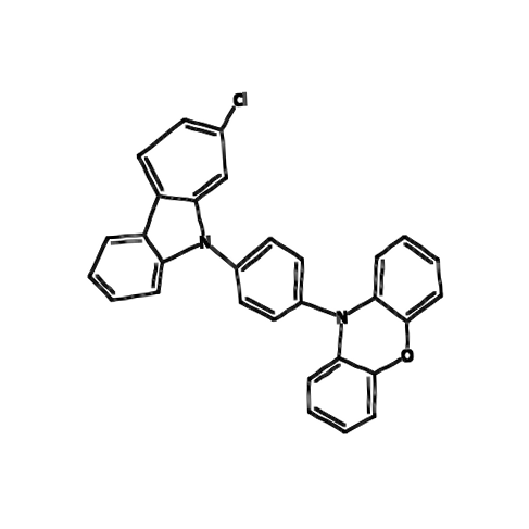 Clc1ccc2c3ccccc3n(-c3ccc(N4c5ccccc5Oc5ccccc54)cc3)c2c1